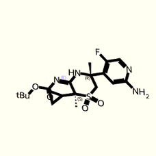 CC(C)(C)OC(=O)/N=C1/N[C@](C)(c2cc(N)ncc2F)CS(=O)(=O)[C@@]1(C)C1CC1